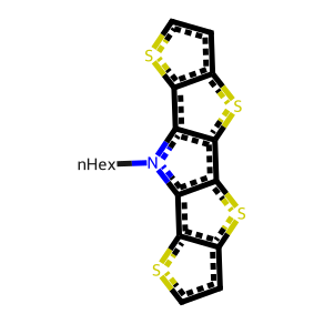 CCCCCCn1c2c3sccc3sc2c2sc3ccsc3c21